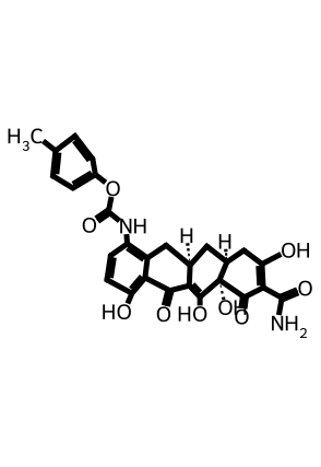 Cc1ccc(OC(=O)Nc2ccc(O)c3c2C[C@H]2C[C@H]4CC(O)=C(C(N)=O)C(=O)[C@@]4(O)C(O)=C2C3=O)cc1